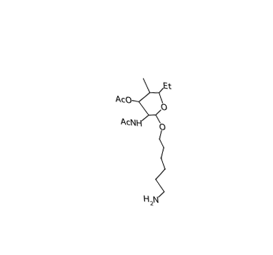 CCC1OC(OCCCCCCN)C(NC(C)=O)C(OC(C)=O)C1C